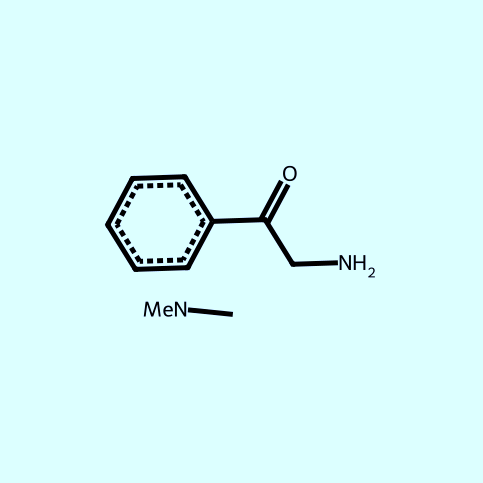 CNC.NCC(=O)c1ccccc1